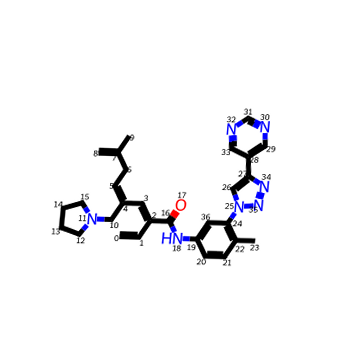 C=C/C(=C\C(=C/CC(=C)C)CN1CCCC1)C(=O)Nc1ccc(C)c(-n2cc(-c3cncnc3)nn2)c1